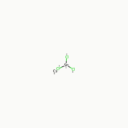 [Cl][Sn]([Cl])[Cl].[Cs]